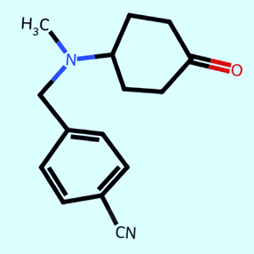 CN(Cc1ccc(C#N)cc1)C1CCC(=O)CC1